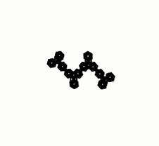 c1ccc(N(c2ccccc2)c2ccc(-c3ccc4c(c3)c3cc(-c5ccc6c(c5)c5cc(-c7ccc(N(c8ccccc8)c8ccccc8)cc7)ccc5n6-c5ccccc5)ccc3n4-c3ccccc3)cc2)cc1